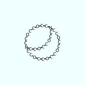 C1COCCOCCN2CCOCCOCCN(CCOCCO1)CCOCCOCC2